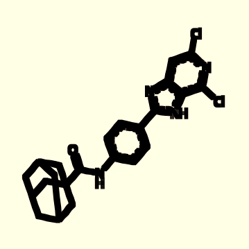 O=C(Nc1ccc(-c2nc3cc(Cl)nc(Cl)c3[nH]2)cc1)C12CC3CC(CC(C3)C1)C2